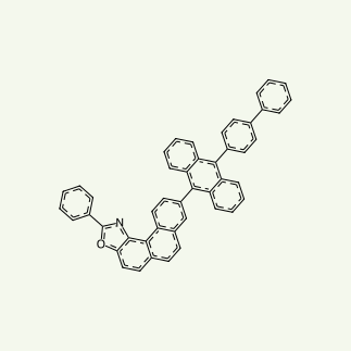 c1ccc(-c2ccc(-c3c4ccccc4c(-c4ccc5c(ccc6ccc7oc(-c8ccccc8)nc7c65)c4)c4ccccc34)cc2)cc1